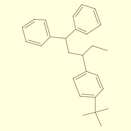 CCC(CC(c1ccccc1)c1ccccc1)c1ccc(C(C)(C)C)cc1